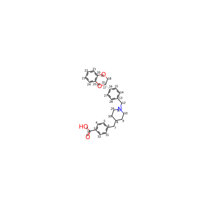 O=C(O)c1ccc(CC2CCN(Cc3ccc([C@H]4COc5ccccc5O4)cc3)CC2)cc1